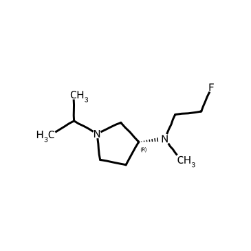 CC(C)N1CC[C@@H](N(C)CCF)C1